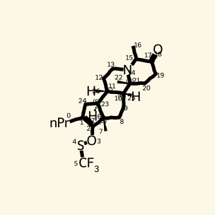 CCCC1=C(OSC(F)(F)F)[C@@]2(C)CC[C@@H]3[C@@H](CCN4C(C)C(=O)CC[C@]34C)[C@@H]2C1